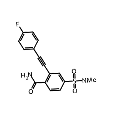 CNS(=O)(=O)c1ccc(C(N)=O)c(C#Cc2ccc(F)cc2)c1